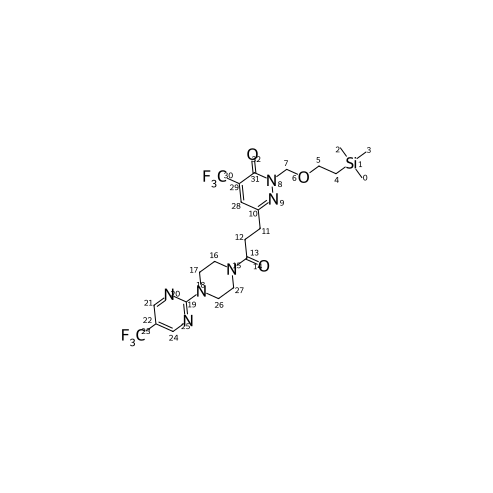 C[Si](C)(C)CCOCn1nc(CCC(=O)N2CCN(c3ncc(C(F)(F)F)cn3)CC2)cc(C(F)(F)F)c1=O